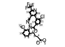 COC(=O)CCCc1cccc(OC)c1N(C)C(=O)c1ccc(Cl)c(-c2cnc(C(F)(F)F)cc2C#N)c1